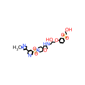 Cn1cc(-c2cncc(S(=O)(=O)N3CCC4(CC3)C[C@@H](NC[C@H](O)COc3cccc(S(=O)(=O)CCO)c3)CO4)c2)cn1